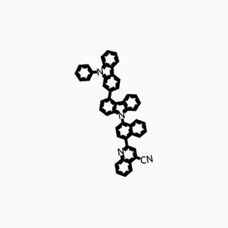 N#Cc1cc(-c2ccc(-n3c4ccccc4c4c(-c5ccc6c7ccccc7n(-c7ccccc7)c6c5)cccc43)c3ccccc23)nc2ccccc12